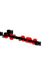 C#CCOC(COC(C)=O)COC(=O)/C=C/SCCCCCCSC=CC(=O)OCCCOC(=O)CC(=O)OCCCOC(=O)C#C